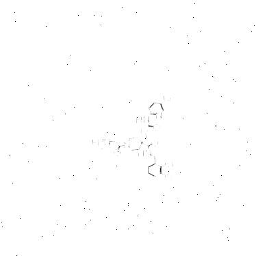 NCC(=O)N1CCC(COC(=O)Nc2ccc(Br)cn2)(C(=O)NCc2cccc(Cl)c2Cl)CC1